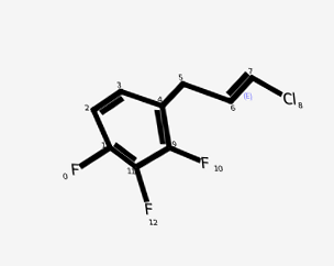 Fc1ccc(C/C=C/Cl)c(F)c1F